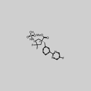 COC(=O)[C@]1(Cc2cccc(-c3ncc(F)cn3)c2)C[C@@H](NS(C)(=O)=O)C(F)(F)C1